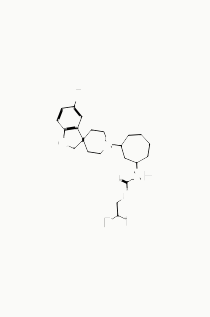 O=C(NC1CCCCC(N2CCC3(CC2)COc2ccc(F)cc23)C1)OCC(F)F